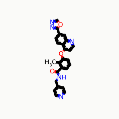 Cc1c(Oc2ccnc3cc(-c4nnco4)ccc23)cccc1C(=O)NCc1ccncc1